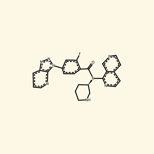 O=C(c1ccc(-n2nnc3cccnc32)cc1F)N(c1nccc2ccncc12)[C@@H]1CCCNC1